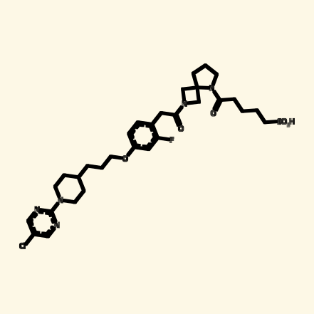 O=C(Cc1ccc(OCCCC2CCN(c3ncc(Cl)cn3)CC2)cc1F)N1CC2(CCCN2C(=O)CCCCS(=O)(=O)O)C1